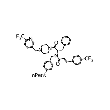 CCCCCc1ccc(CN(C(=O)/C=C/c2ccc(C(F)(F)F)cc2)[C@@H](Cc2ccccc2)C(=O)N2CCN(Cc3ccc(C(F)(F)F)nc3)CC2)cc1